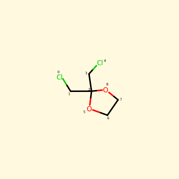 ClCC1(CCl)OCCO1